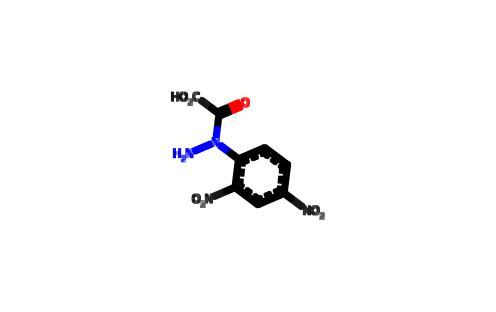 NN(C(=O)C(=O)O)c1ccc([N+](=O)[O-])cc1[N+](=O)[O-]